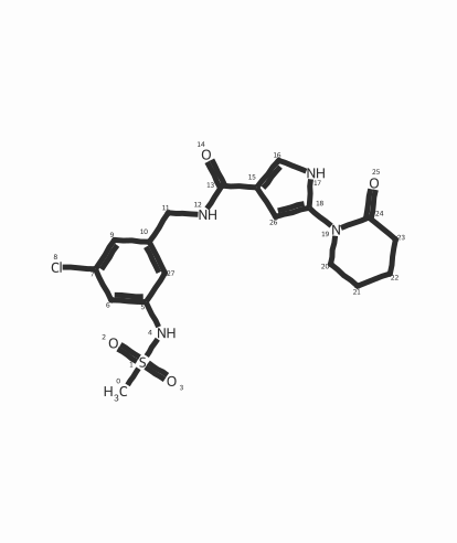 CS(=O)(=O)Nc1cc(Cl)cc(CNC(=O)c2c[nH]c(N3CCCCC3=O)c2)c1